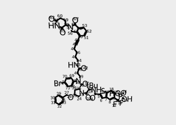 CC(C)(C)C(NC(=O)c1cc2cc(C(F)(F)P(=O)(O)O)ccc2s1)C(=O)N1C[C@H](OCc2ccccc2)C[C@H]1C(=O)N(CCC(=O)NCCCCC#Cc1cccc2c1CN(C1CCC(=O)NC1=O)C2=O)c1ccc(Br)cc1